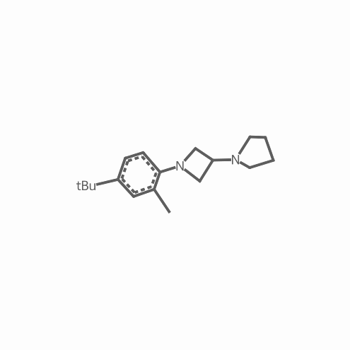 Cc1cc(C(C)(C)C)ccc1N1CC(N2CCCC2)C1